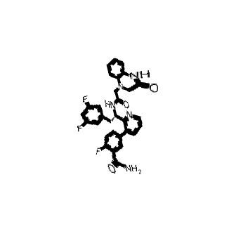 NC(=O)c1cc(-c2cccnc2[C@H](Cc2cc(F)cc(F)c2)NC(=O)CN2CC(=O)Nc3ccccc32)ccc1F